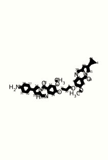 COc1cc2c(cc1OCCCOc1cc3c(cc1OC)C(=O)N1C=C(c4ccc(N)cc4)C[C@H]1C=N3)N=CC1CC(C3CC3)=CN1C2=O